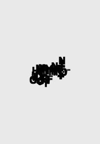 CN1C(=O)c2cccc(OC(F)F)c2[C@H]2C[C@@H]1c1nn3ccc(-c4cnc(C5(N[S@+]([O-])C(C)(C)C)CC(C)(C#N)C5)nc4)nc3c12